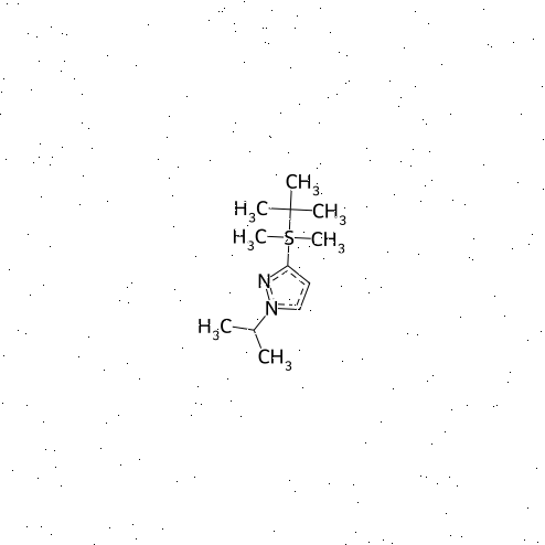 CC(C)n1ccc(S(C)(C)C(C)(C)C)n1